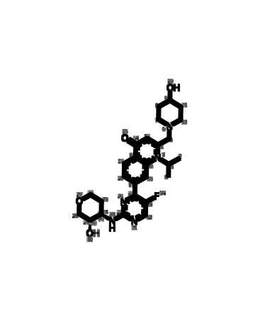 CC(C)n1c(CN2CCC(O)CC2)cc(=O)c2ccc(-c3nc(N[C@@H]4CCOC[C@H]4O)ncc3F)cc21